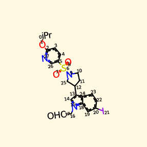 CC(C)Oc1ccc(S(=O)(=O)N2CCC(c3cn(CC=O)c4cc(I)ccc34)C2)cn1